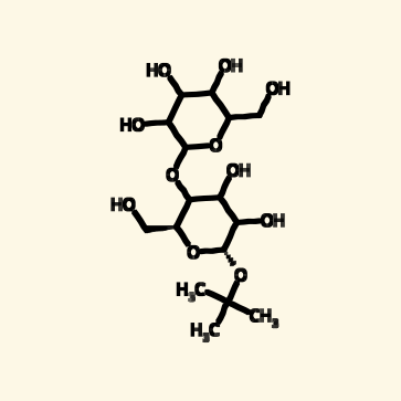 CC(C)(C)O[C@@H]1O[C@@H](CO)C(OC2OC(CO)C(O)C(O)C2O)C(O)C1O